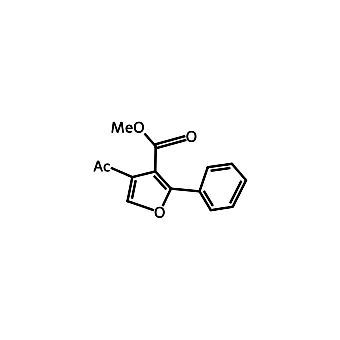 COC(=O)c1c(C(C)=O)coc1-c1ccccc1